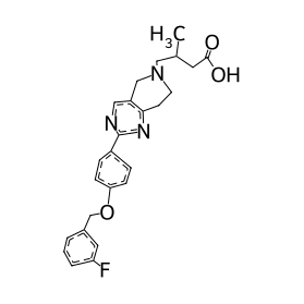 CC(CC(=O)O)CN1CCc2nc(-c3ccc(OCc4cccc(F)c4)cc3)ncc2C1